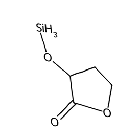 O=C1OCCC1O[SiH3]